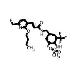 CCCCOc1nc(CF)ccc1/C=C/C(=O)NCc1cc(F)c(NS(C)(=O)=O)c(C(F)(F)F)c1